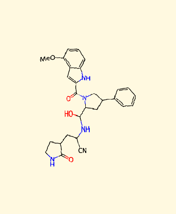 COc1cccc2[nH]c(C(=O)N3CC(c4ccccc4)CC3C(O)NC(C#N)CC3CCNC3=O)cc12